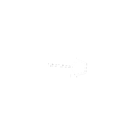 [N-]=[N+]=c1[nH]ccs1